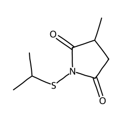 CC(C)SN1C(=O)CC(C)C1=O